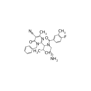 Cc1cc(C(=O)N(CCCN)C(c2nc(C)c(C#N)c(=O)n2Cc2ccccc2)C(C)C)ccc1F